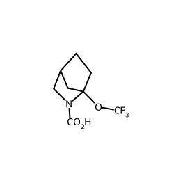 O=C(O)N1CC2CCC1(OC(F)(F)F)C2